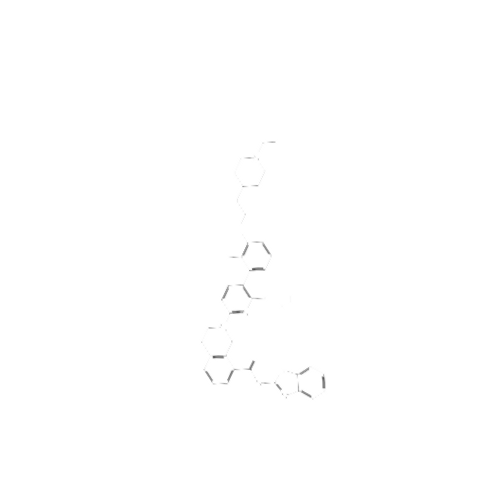 Cc1c(OCCC2CCN(CC=O)CC2)cccc1-c1ccc(N2CCc3cccc(C(=O)Nc4nc5ccccc5s4)c3C2)nc1C(=O)O